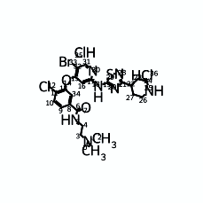 CN(C)CCNC(=O)c1ccc(Cl)c(Oc2cc(Nc3nc(C4CCNCC4)ns3)ncc2Br)c1.Cl.Cl